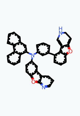 C1=c2oc3cccc(-c4cccc(N(c5ccc6oc7ncccc7c6c5)c5cc6ccccc6c6ccccc56)c4)c3c2=CNC1